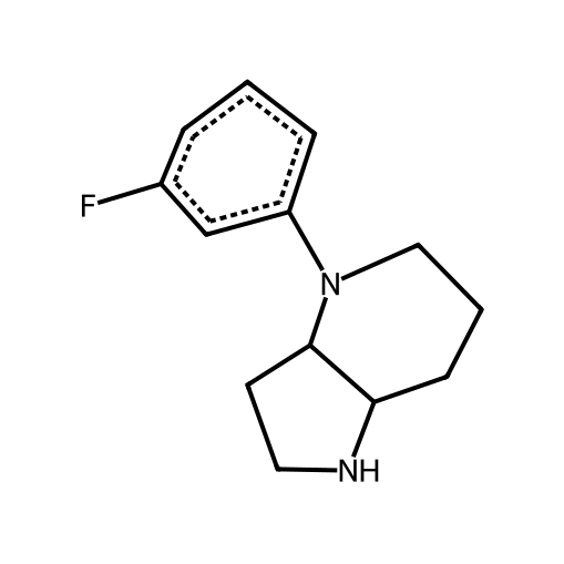 Fc1cccc(N2CCCC3NCCC32)c1